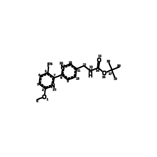 COc1ccc(F)c(-c2ccc(CNC(=O)OC(C)(C)C)cn2)n1